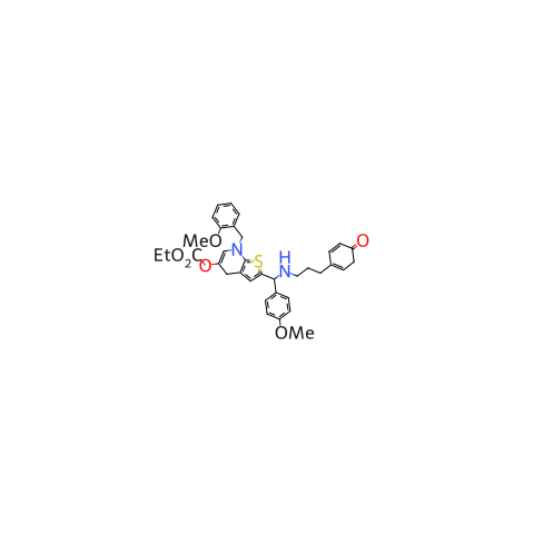 CCOC(=O)OC1=CN(Cc2ccccc2OC)c2sc(C(NCCCC3=CCC(=O)C=C3)c3ccc(OC)cc3)cc2C1